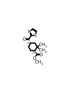 COC(=O)[C@H]1CC[C@H](C(=O)c2nccs2)CC1(C)C